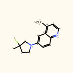 CC1(F)CCN(c2ccc3nccc(C(=O)O)c3c2)C1